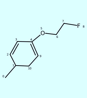 CC1C=CC(OCCF)=CC1